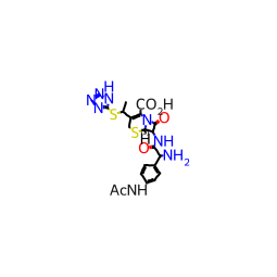 CC(=O)Nc1ccc(C(N)C(=O)NC2C(=O)N3C(C(=O)O)=C(C(C)Sc4nnn[nH]4)CS[C@@H]23)cc1